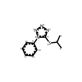 CC(C)Sc1nnnn1-c1ccccc1